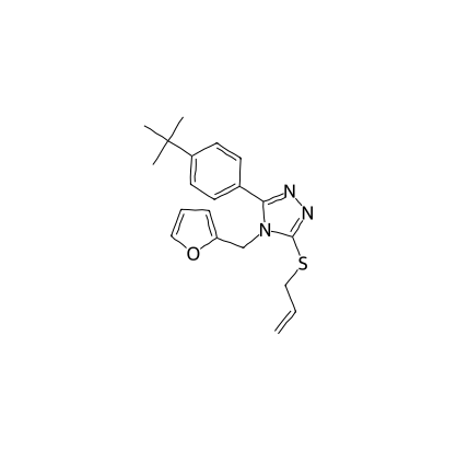 C=CCSc1nnc(-c2ccc(C(C)(C)C)cc2)n1Cc1ccco1